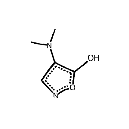 CN(C)c1cnoc1O